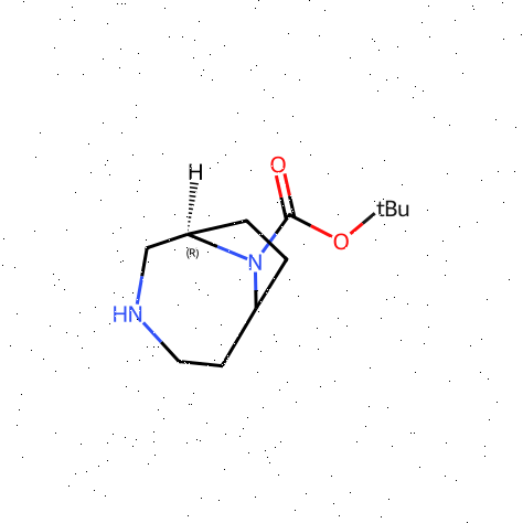 CC(C)(C)OC(=O)N1C2CCNC[C@H]1CC2